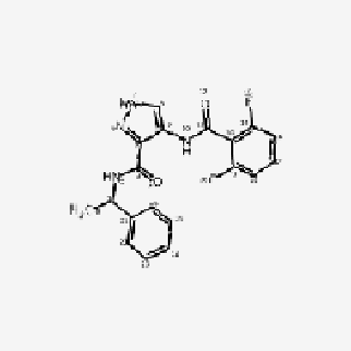 CC(NC(=O)c1n[nH]cc1NC(=O)c1c(F)cccc1F)c1ccccc1